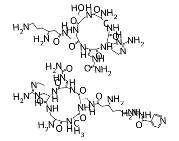 C[C@@H]1NC(=O)[C@@H](N)CNC(=O)[C@H]([C@H]2CCN=C(N)N2)NC(=O)/C(=C\NC(N)=O)NC(=O)[C@H](CNC(=O)C[C@@H](N)CCCN)NC1=O.NCCC[C@H](N)CC(=O)NC[C@@H]1NC(=O)[C@H](CO)NC(=O)[C@@H](N)CNC(=O)[C@H]([C@H]2CCN=C(N)N2)NC(=O)/C(=C\NC(N)=O)NC1=O.NNC(=O)c1ccncc1